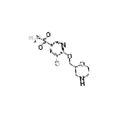 NS(=O)(=O)c1cnc(OCC2CNCCO2)c(Cl)c1